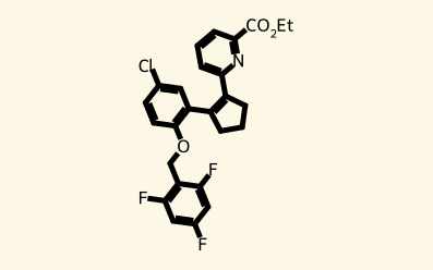 CCOC(=O)c1cccc(C2=C(c3cc(Cl)ccc3OCc3c(F)cc(F)cc3F)CCC2)n1